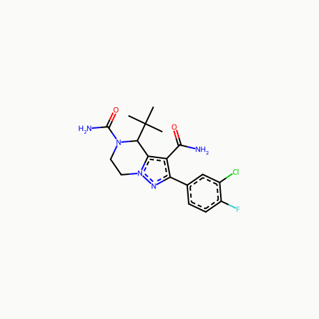 CC(C)(C)C1c2c(C(N)=O)c(-c3ccc(F)c(Cl)c3)nn2CCN1C(N)=O